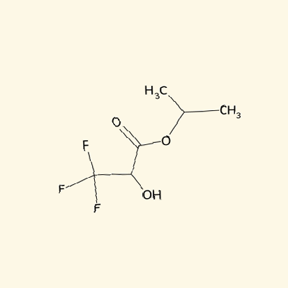 CC(C)OC(=O)C(O)C(F)(F)F